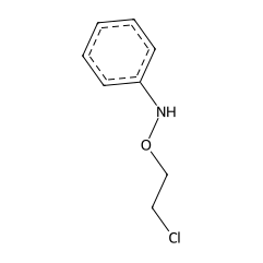 ClCCONc1ccccc1